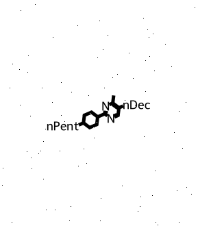 CCCCCCCCCCc1cnc(C2CCC(CCCCC)CC2)nc1C